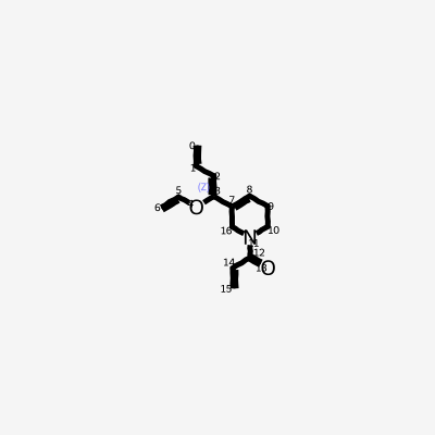 C=C/C=C(\OC=C)C1=CCCN(C(=O)C=C)C1